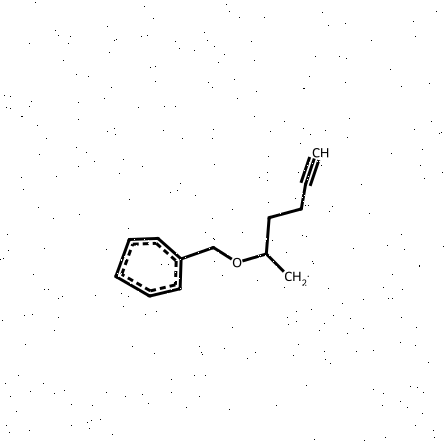 C#CCCC([CH2])OCc1ccccc1